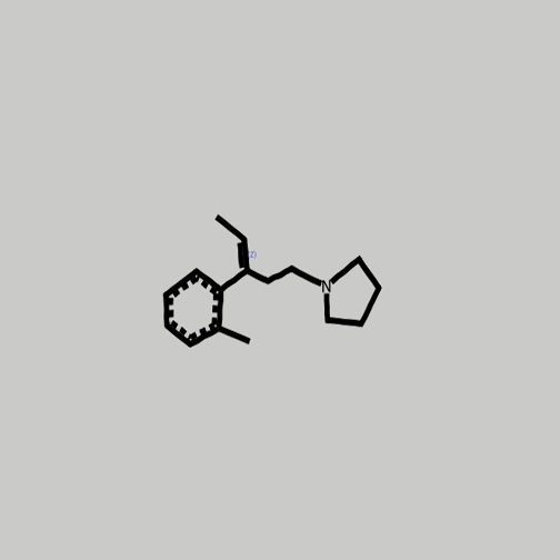 C/C=C(/CCN1CCCC1)c1ccccc1C